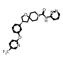 O=C(Nc1cccnn1)N1CCC2(CC1)C[C@@H](c1cccc(Oc3ccc(C(F)(F)F)cn3)c1)CO2